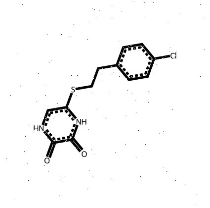 O=c1[nH]cc(SCCc2ccc(Cl)cc2)[nH]c1=O